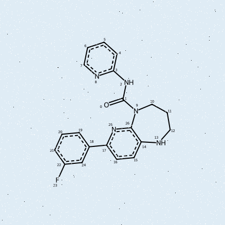 O=C(Nc1ccccn1)N1CCCNc2ccc(-c3cccc(F)c3)nc21